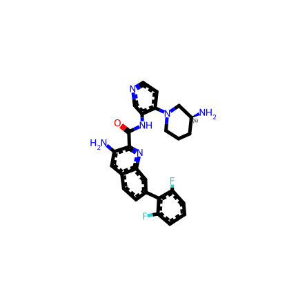 Nc1cc2ccc(-c3c(F)cccc3F)cc2nc1C(=O)Nc1cnccc1N1CCC[C@H](N)C1